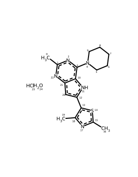 Cc1nc(N2CCCCC2)c2[nH]c(-c3sc(C)nc3C)cc2n1.Cl.O